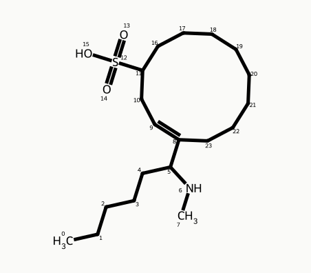 CCCCCC(NC)/C1=C/CC(S(=O)(=O)O)CCCCCCCC1